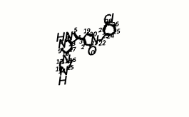 O=c1cc(-c2c[nH]c3ncc(N4CCNCC4)cc23)ccn1Cc1cccc(Cl)c1